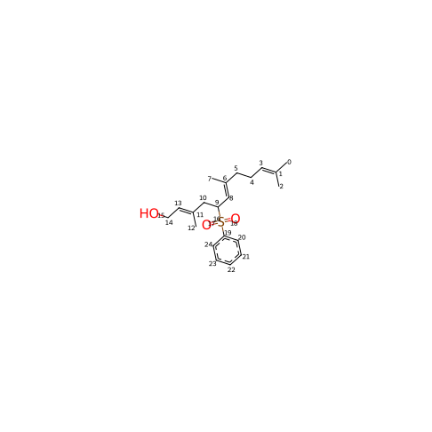 CC(C)=CCC/C(C)=C/C(C/C(C)=C/CO)S(=O)(=O)c1ccccc1